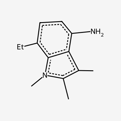 CCc1ccc(N)c2c(C)c(C)n(C)c12